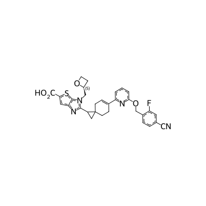 N#Cc1ccc(COc2cccc(C3=CCC4(CC3)CC4c3nc4cc(C(=O)O)sc4n3C[C@@H]3CCO3)n2)c(F)c1